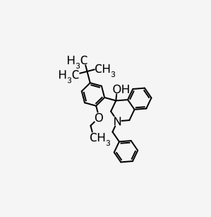 CCOc1ccc(C(C)(C)C)cc1C1(O)CN(Cc2ccccc2)Cc2ccccc21